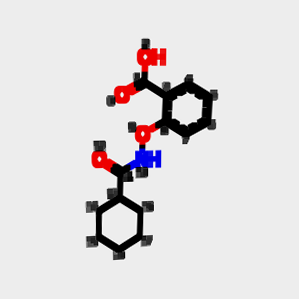 O=C(O)c1ccccc1ONC(=O)C1CCCCC1